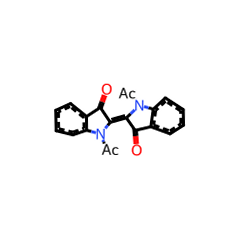 CC(=O)N1C(=C2C(=O)c3ccccc3N2C(C)=O)C(=O)c2ccccc21